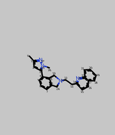 Cc1cc(-c2cccc3c2CN(CCc2ccc4ccccc4n2)C3)n(C)n1